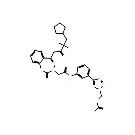 CC(C)(C)C(=O)OCn1nnc(-c2cccc(NC(=O)CN3N=C(CC(=O)C(C)(C)CC4CCCC4)c4ccccc4NC3=O)c2)n1